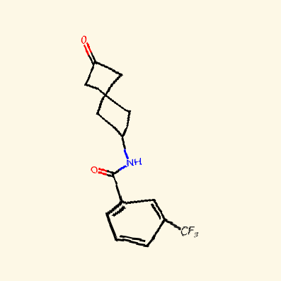 O=C1CC2(C1)CC(NC(=O)c1cccc(C(F)(F)F)c1)C2